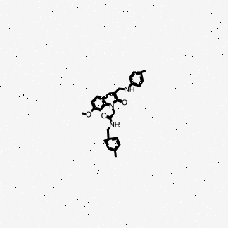 COc1ccc2cc(CNc3ccc(C)cc3)c(=O)n(CC(=O)NCc3ccc(C)cc3)c2c1